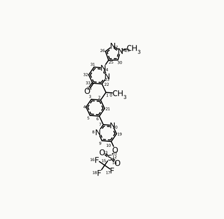 CC(c1cccc(-c2ncc(OS(=O)(=O)C(F)(F)F)cn2)c1)c1nn(-c2cnn(C)c2)ccc1=O